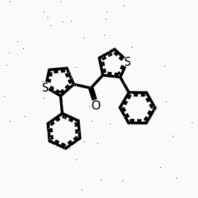 O=C(c1ccsc1-c1ccccc1)c1ccsc1-c1ccccc1